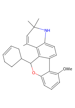 COc1cccc2c1-c1ccc3c(c1C(C1CC=CCC1)O2)C(C)=CC(C)(C)N3